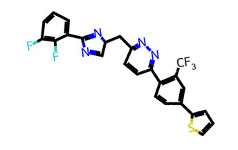 Fc1cccc(C2=NC(Cc3ccc(-c4ccc(-c5cccs5)cc4C(F)(F)F)nn3)C=N2)c1F